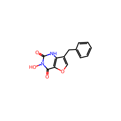 O=c1[nH]c2c(Cc3ccccc3)coc2c(=O)n1O